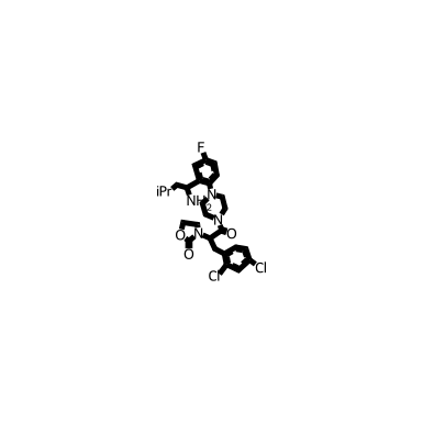 CC(C)CC(N)c1cc(F)ccc1N1CCN(C(=O)C(Cc2ccc(Cl)cc2Cl)N2CCOC2=O)CC1